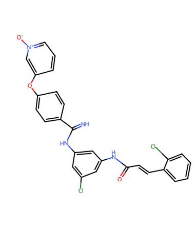 N=C(Nc1cc(Cl)cc(NC(=O)/C=C/c2ccccc2Cl)c1)c1ccc(Oc2ccc[n+]([O-])c2)cc1